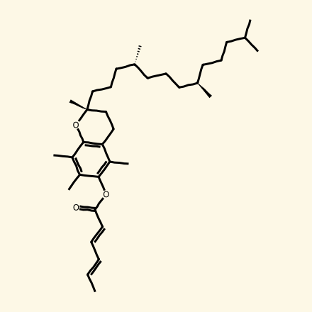 C/C=C/C=C/C(=O)Oc1c(C)c(C)c2c(c1C)CC[C@@](C)(CCC[C@H](C)CCC[C@H](C)CCCC(C)C)O2